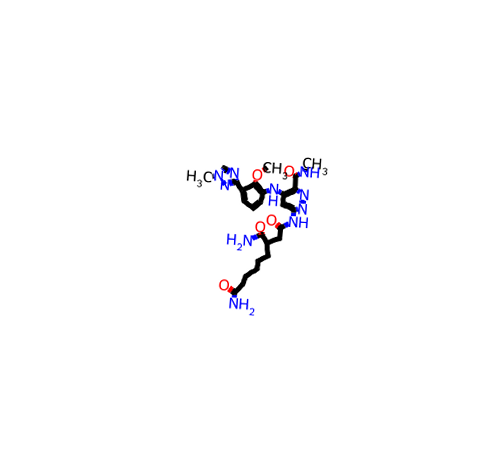 CNC(=O)c1nnc(NC(=O)CC(CCCCCC(N)=O)C(N)=O)cc1Nc1cccc(-c2ncn(C)n2)c1OC